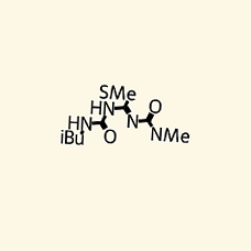 CCC(C)NC(=O)NC(=NC(=O)NC)SC